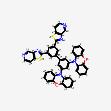 c1ccc2c(c1)Oc1ccccc1N2c1cc(-c2cc(-c3nc4cnccc4s3)cc(-c3nc4cnccc4s3)c2)cc(N2c3ccccc3Oc3ccccc32)c1